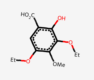 CCOc1cc(C(=O)O)c(O)c(OCC)c1OC